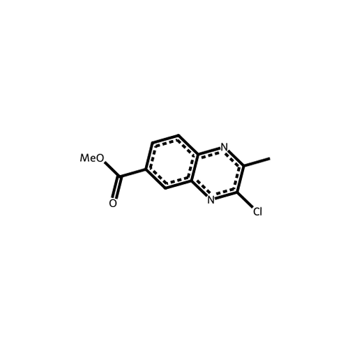 COC(=O)c1ccc2nc(C)c(Cl)nc2c1